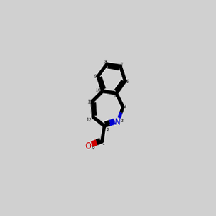 O=CC1=NCc2ccccc2C=C1